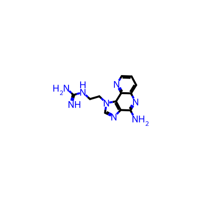 N=C(N)NCCn1cnc2c(N)nc3cccnc3c21